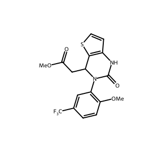 COC(=O)CC1c2sccc2NC(=O)N1c1cc(C(F)(F)F)ccc1OC